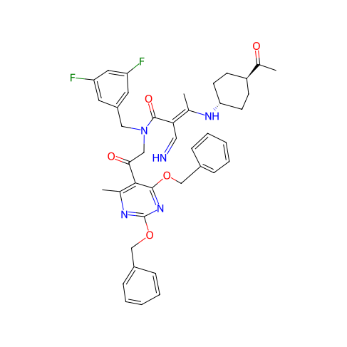 C/C(N[C@H]1CC[C@H](C(C)=O)CC1)=C(/C=N)C(=O)N(CC(=O)c1c(C)nc(OCc2ccccc2)nc1OCc1ccccc1)Cc1cc(F)cc(F)c1